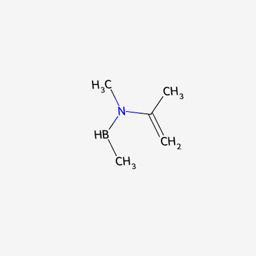 C=C(C)N(C)BC